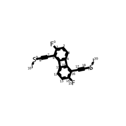 Fc1ccc2c(c1C#CSI)-c1ccc(F)c(C#CSI)c1-2